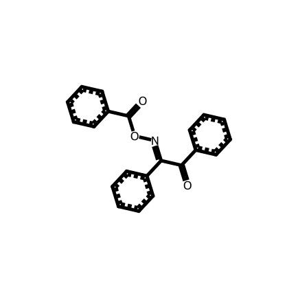 O=C(ON=C(C(=O)c1ccccc1)c1ccccc1)c1ccccc1